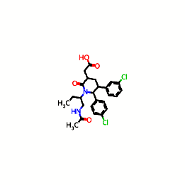 CCC(CNC(C)=O)N1C(=O)C(CC(=O)O)CC(c2cccc(Cl)c2)C1c1ccc(Cl)cc1